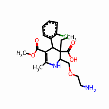 CCC1(C(=O)O)C(COCCN)NC(C)=C(C(=O)OC)C1c1ccccc1Cl